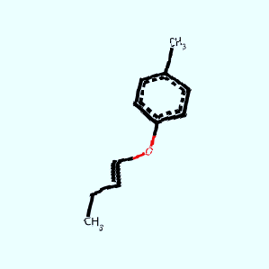 CC/C=C/Oc1ccc(C)cc1